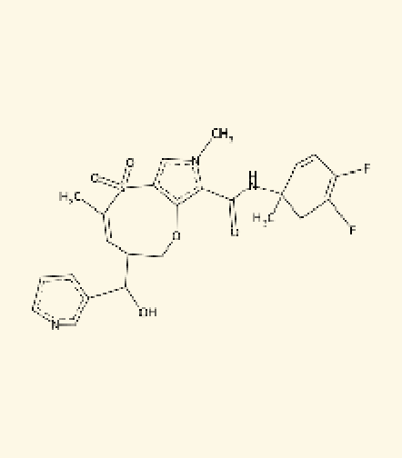 C/C1=C/C(C(O)c2cccnc2)COc2c(cn(C)c2C(=O)NC2(C)C=CC(F)=C(F)C2)S1(=O)=O